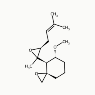 CO[C@@H]1CCC[C@]2(CO2)[C@H]1C1(C)O[C@H]1CC=C(C)C